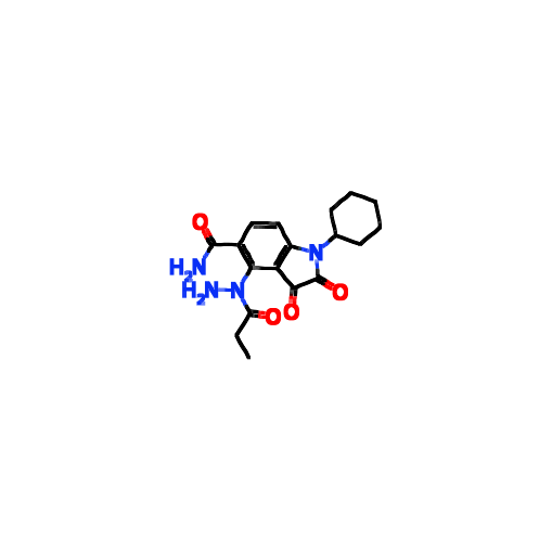 CCC(=O)N(N)c1c(C(N)=O)ccc2c1C(=O)C(=O)N2C1CCCCC1